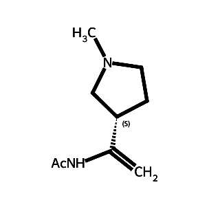 C=C(NC(C)=O)[C@H]1CCN(C)C1